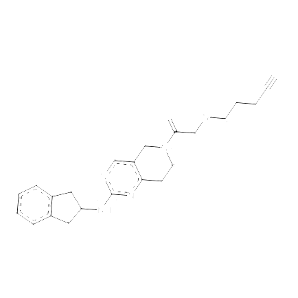 C#CCCCNCC(=O)N1CCc2nc(NC3Cc4ccccc4C3)ncc2C1